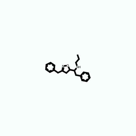 CCCNC(Cc1ccccc1)C1CC(Cc2ccccc2)=NO1